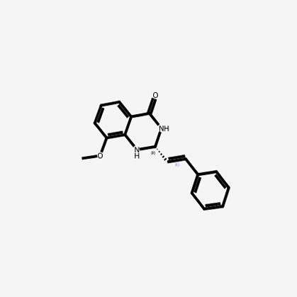 COc1cccc2c1N[C@@H](/C=C/c1ccccc1)NC2=O